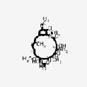 COc1cc2cc(c1Cl)N(C)C(=O)C[C@H](O)[C@]1(N)O[C@H]1[C@H](C)[C@@H]1C[C@@](O)(NC(=O)O1)[C@H](OC)/C=C/C=C(\C)C2